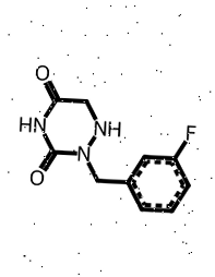 O=C1CNN(Cc2cccc(F)c2)C(=O)N1